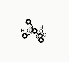 CN(Cc1ccccc1)c1cc(-c2oc3ccccc3c(=O)c2O)ccc1OCc1ccccc1